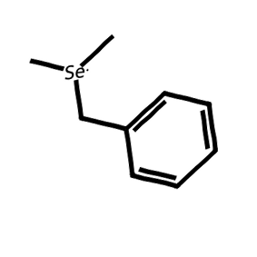 C[Se](C)Cc1ccccc1